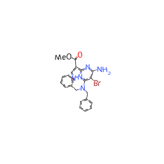 COC(=O)c1cnn2c(N(Cc3ccccc3)Cc3ccccc3)c(Br)c(N)nc12